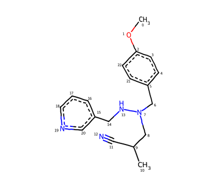 COc1ccc(CN(CC(C)C#N)NCc2cccnc2)cc1